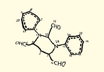 O=CC1CC(C=O)N(c2ccccc2)C(C=O)N1c1ccccc1